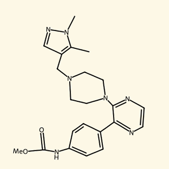 COC(=O)Nc1ccc(-c2nccnc2N2CCN(Cc3cnn(C)c3C)CC2)cc1